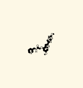 COc1cc(OCC(=O)NCc2cccnc2)c2cc(-c3cn4nc(OC)sc4n3)nn2c1